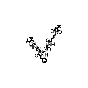 CC(C)C(=O)C1(COCNC(=O)CNC(=O)C(Cc2ccccc2)NC(=O)CNC(=O)CNC(=O)CCCCCN2C(=O)CC(C(C)(C)C)C2=O)CC1